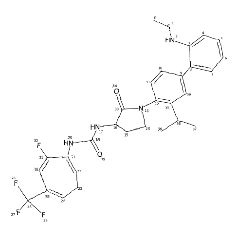 CSNc1ccccc1-c1ccc(N2CCC(NC(=O)NC3=CCC=C(C(F)(F)F)C=C3F)C2=O)c(C(C)C)c1